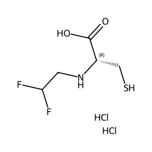 Cl.Cl.O=C(O)[C@H](CS)NCC(F)F